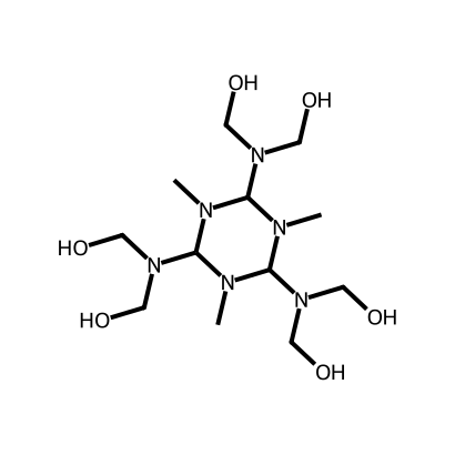 CN1C(N(CO)CO)N(C)C(N(CO)CO)N(C)C1N(CO)CO